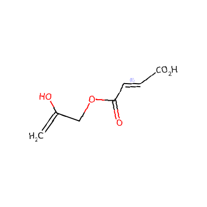 C=C(O)COC(=O)/C=C/C(=O)O